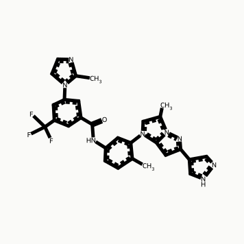 Cc1ccc(NC(=O)c2cc(-n3ccnc3C)cc(C(F)(F)F)c2)cc1-n1cc(C)n2nc(-c3cn[nH]c3)cc12